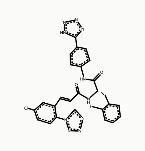 O=C(C=Cc1cc(Cl)ccc1-n1cnnn1)N[C@@H](Cc1ccccc1F)C(=O)Nc1ccc(-c2nnn[nH]2)cc1